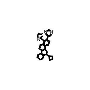 C1=CC2=C(CC1)C(C1CCC1)Cc1c2ccc2c(C3=NCCS3)c(-c3cncnc3)ccc12